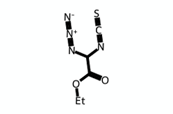 CCOC(=O)C(N=C=S)N=[N+]=[N-]